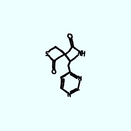 O=C1NC(c2ccn[c]n2)C12CSC2=O